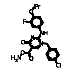 CC(C)Oc1ccc(Nc2nc(=O)c(C(=O)ON)cn2Cc2ccc(Cl)cc2)cc1F